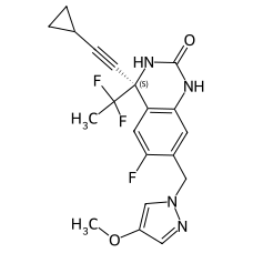 COc1cnn(Cc2cc3c(cc2F)[C@@](C#CC2CC2)(C(C)(F)F)NC(=O)N3)c1